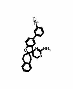 [C-]#[N+]c1cccc(-c2ccc3c(c2)C2(CCSC(N)=N2)C2(CCc4ccccc4CC2)O3)c1